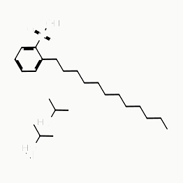 CC(C)O.CC(C)O.CCCCCCCCCCCCc1ccccc1S(=O)(=O)O.N